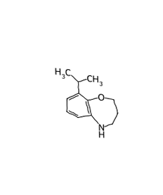 CC(C)c1cccc2c1OCCCN2